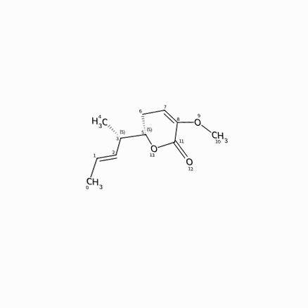 CC=C[C@H](C)[C@@H]1CC=C(OC)C(=O)O1